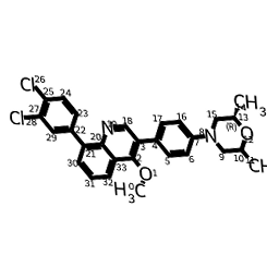 COc1c(-c2ccc(N3CC(C)O[C@H](C)C3)cc2)cnc2c(-c3ccc(Cl)c(Cl)c3)cccc12